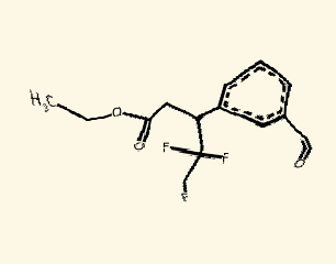 CCOC(=O)CC(c1cccc(C=O)c1)C(F)(F)F